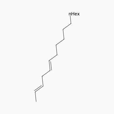 [CH2]CCCCCCCCCCC=CCC=CC